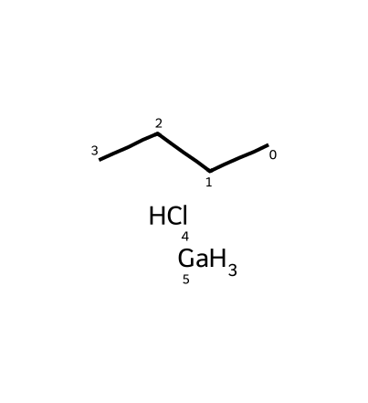 CCCC.Cl.[GaH3]